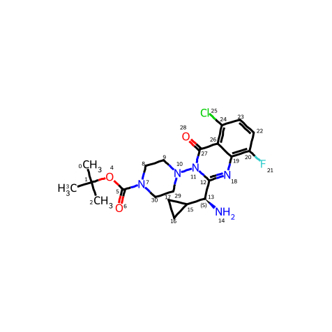 CC(C)(C)OC(=O)N1CCN(n2c([C@@H](N)C3CC3)nc3c(F)ccc(Cl)c3c2=O)CC1